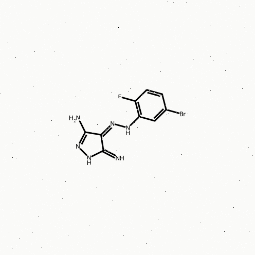 N=C1NN=C(N)/C1=N/Nc1cc(Br)ccc1F